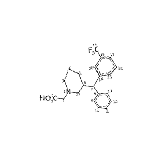 O=C(O)CN1CCCC(C(c2ccccc2)c2cccc(C(F)(F)F)c2)C1